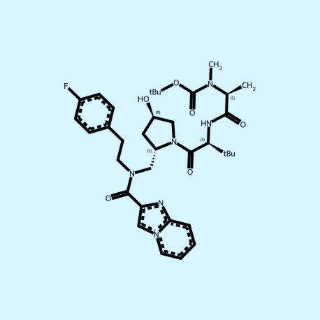 C[C@@H](C(=O)N[C@H](C(=O)N1C[C@H](O)C[C@H]1CN(CCc1ccc(F)cc1)C(=O)c1cn2ccccc2n1)C(C)(C)C)N(C)C(=O)OC(C)(C)C